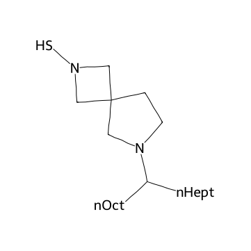 CCCCCCCCC(CCCCCCC)N1CCC2(CN(S)C2)C1